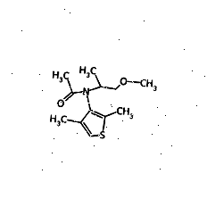 COCC(C)N(C(C)=O)c1c(C)csc1C